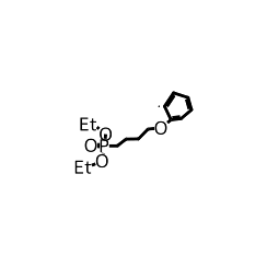 CCOP(=O)(CCCCOc1[c]cccc1)OCC